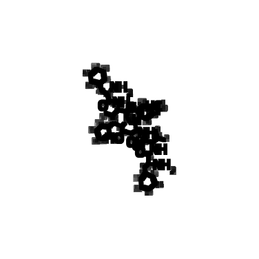 CC(C)[C@H](NC(=O)[C@@H](N)Cc1ccccc1)C(=O)N[C@H](Cc1ccccc1)[C@@H](O)[C@H](O)[C@@H](Cc1ccccc1)NC(=O)[C@@H](NC(=O)[C@@H](N)Cc1ccccc1)C(C)C.Cl.Cl